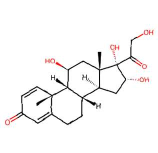 C[C@]12C=CC(=O)C=C1CC[C@@H]1[C@H]2[C@@H](O)C[C@@]2(C)[C@H]1C[C@@H](O)[C@]2(O)C(=O)CO